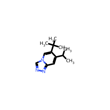 CC(C)c1cc2nncn2cc1C(C)(C)C